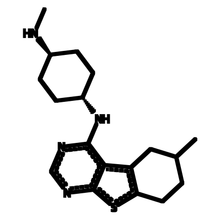 CN[C@H]1CC[C@H](Nc2ncnc3sc4c(c23)CC(C)CC4)CC1